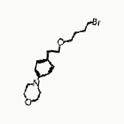 BrCCCCOCCc1ccc(N2CCOCC2)cc1